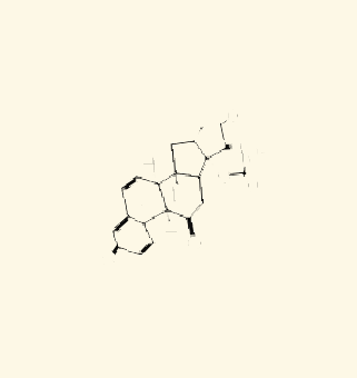 CCCC(=O)O[C@@]1(C(=O)CO)[C@H](C)C[C@H]2[C@@H]3C=CC4=CC(=O)C=C[C@]4(C)[C@H]3C(=O)C[C@@]21C